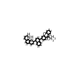 CC1(C)c2ccccc2Oc2cc(-c3ccc(C4C=Cc5ccc6c(c5N4)NCC=C6)c4ccccc34)ccc21